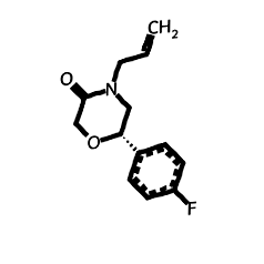 C=CCN1C[C@H](c2ccc(F)cc2)OCC1=O